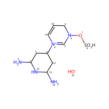 NC1CC([N+]2=CN(OS(=O)(=O)O)CC=C2)CC(N)N1.[OH-]